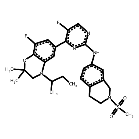 CCC(C)N1CC(C)(C)Oc2c(F)cc(-c3nc(Nc4ccc5c(c4)CN(S(C)(=O)=O)CC5)ncc3F)cc21